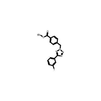 CC(C)(C)OC(=O)c1ccc(Cn2nnc(-c3cccc(I)c3)n2)cc1